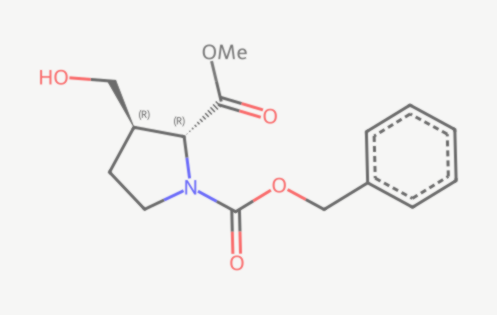 COC(=O)[C@H]1[C@H](CO)CCN1C(=O)OCc1ccccc1